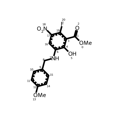 COC(=O)c1c(O)c(NCc2ccc(OC)cc2)cc([N+](=O)[O-])c1F